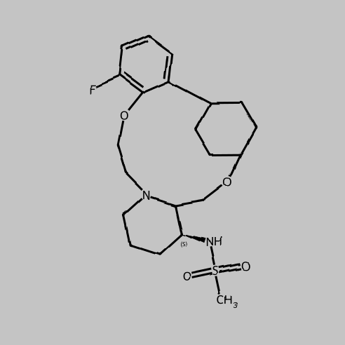 CS(=O)(=O)N[C@H]1CCCN2CCOc3c(F)cccc3C3CCC(CC3)OCC12